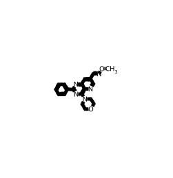 CON=Cc1cnc2c(N3CCOCC3)nc(-c3ccccc3)nc2c1